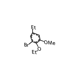 CCOc1c(Br)cc(CC)cc1OC